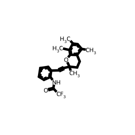 Cc1cc(C)c2c(c1C)OC(C)(C#Cc1ccccc1NC(=O)C(F)(F)F)CC2